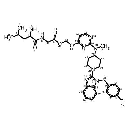 CC(C)CC(N)C(=O)NCC(=O)OCOc1ccnc(N(C)C2CCN(c3nc4ccccc4n3Cc3ccc(F)cc3)CC2)n1